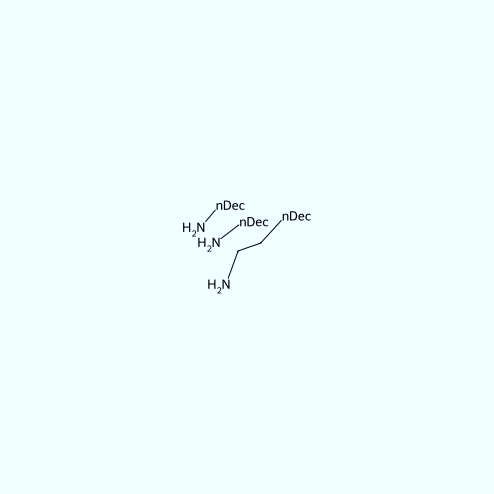 CCCCCCCCCCCCN.CCCCCCCCCCN.CCCCCCCCCCN